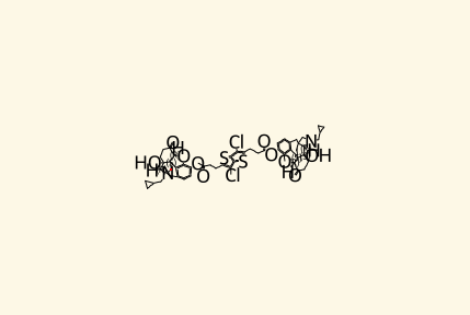 O=C(CCc1sc2c(Cl)c(CCC(=O)Oc3ccc4c5c3O[C@H]3C(=O)CC[C@@]6(O)[C@@H]7N(CC8CC8)CC7(C4)C[C@]536)sc2c1Cl)Oc1ccc2c3c1O[C@H]1C(=O)CCC4(O)[C@@H](C2)N(CC2CC2)CC[C@]314